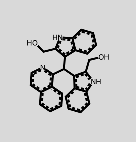 OCc1[nH]c2ccccc2c1C(c1nccc2ccccc12)c1c(CO)[nH]c2ccccc12